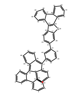 c1ccc(-c2ccccc2-c2c3ccccc3c(-c3cccc(-c4ccc5c(c4)sc4c6ccccc6c6ccccc6c54)c3)c3ccccc23)cc1